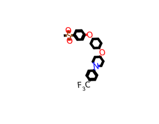 CS(=O)(=O)c1ccc(O[C@H]2CC[C@H](OC3CCN(c4ccc(C(F)(F)F)cc4)CC3)CC2)cc1